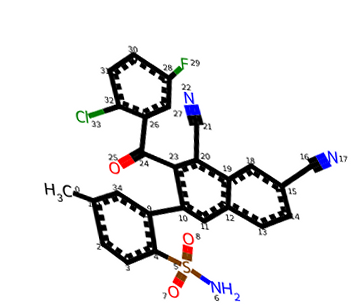 Cc1ccc(S(N)(=O)=O)c(-c2cc3ccc(C#N)cc3c(C#N)c2C(=O)c2cc(F)ccc2Cl)c1